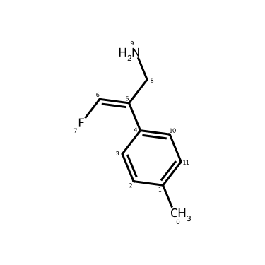 Cc1ccc(/C(=C\F)CN)cc1